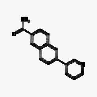 NC(=O)c1ccc2cc(-c3cccnc3)ccc2c1